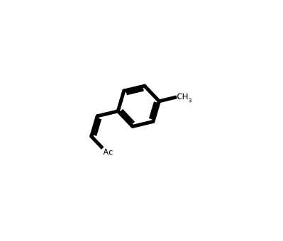 CC(=O)/C=C\c1ccc(C)cc1